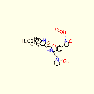 CC(C)(C)[C@H]1CCc2nc3sc(C(=O)N[C@H](CCN4CCCCC4CO)c4ccc(-c5ccc(=O)[nH]c5)cc4)cc3cc2C1.O=CO